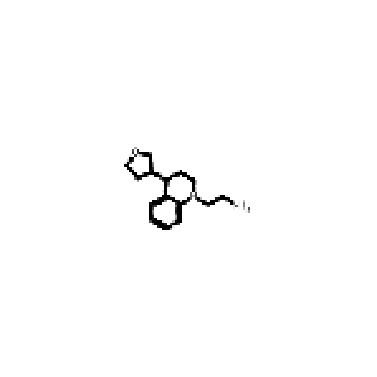 NCCN1CCC(C2CCOC2)c2ccccc21